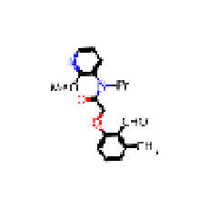 COc1ncccc1N(C(=O)COc1cccc(C)c1C=O)C(C)C